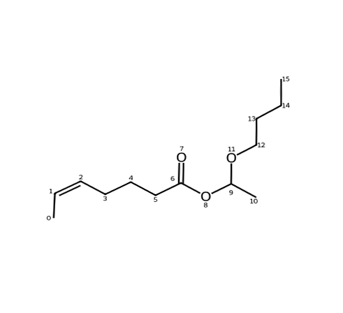 C/C=C\CCCC(=O)OC(C)OCCCC